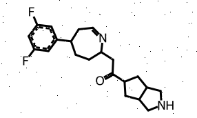 O=C(CC1CCC(c2cc(F)cc(F)c2)CC=N1)C1CC2CNCC2C1